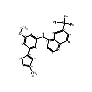 COc1cc(Nc2ccnc3ccc(C(F)(F)F)cc23)cc(-c2cc(C)cs2)c1